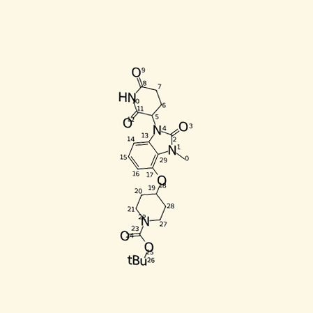 Cn1c(=O)n(C2CCC(=O)NC2=O)c2cccc(OC3CCN(C(=O)OC(C)(C)C)CC3)c21